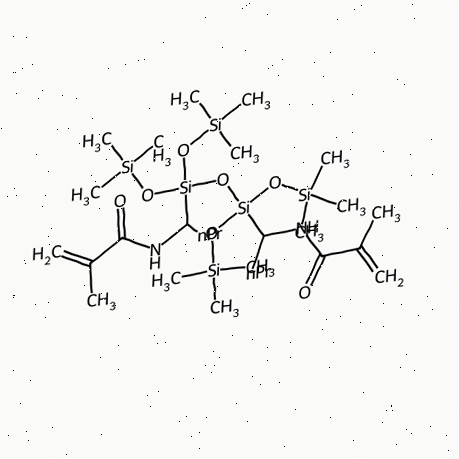 C=C(C)C(=O)NC(CCC)[Si](O[Si](C)(C)C)(O[Si](C)(C)C)O[Si](O[Si](C)(C)C)(O[Si](C)(C)C)C(CCC)NC(=O)C(=C)C